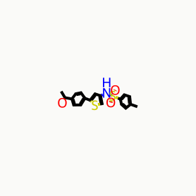 CC(=O)c1ccc(-c2cc(NS(=O)(=O)c3ccc(C)cc3)cs2)cc1